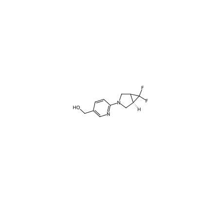 OCc1ccc(N2CC3[C@H](C2)C3(F)F)nc1